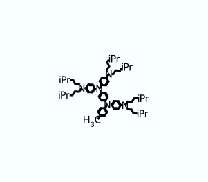 Cc1ccc(N(c2ccc(N(CCCC(C)C)CCCC(C)C)cc2)c2ccc(N(c3ccc(N(CCCC(C)C)CCCC(C)C)cc3)c3ccc(N(CCCC(C)C)CCCC(C)C)cc3)cc2)cc1